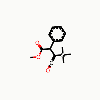 COC(=O)C(C(=C=O)[Si](C)(C)C)c1ccccc1